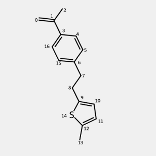 C=C(C)c1ccc(CCc2ccc(C)s2)cc1